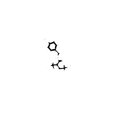 CC(C)(C)CC(C(=O)NCc1ccc(O)cc1)C(C)(C)C